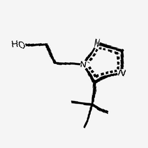 CC(C)(C)c1ncnn1CCO